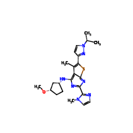 CO[C@H]1CC[C@@H](Nc2nc(-c3nccn3C)nc3sc(-c4ccn(C(C)C)n4)c(C)c23)C1